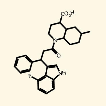 CC1CCC2C(C1)C(C(=O)O)CCN2C(=O)CC(c1ccccc1)c1c[nH]c2cccc(F)c12